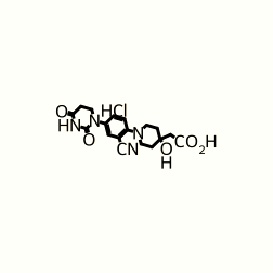 Cl.N#Cc1cc(N2CCC(=O)NC2=O)ccc1N1CCC(O)(CC(=O)O)CC1